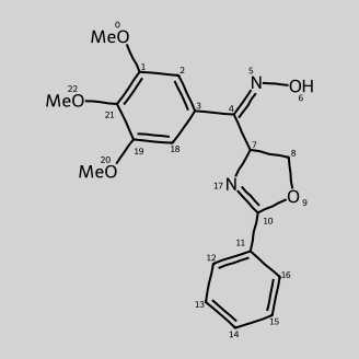 COc1cc(C(=NO)C2COC(c3ccccc3)=N2)cc(OC)c1OC